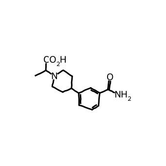 CC(C(=O)O)N1CCC(c2cccc(C(N)=O)c2)CC1